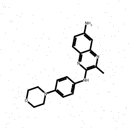 Cc1nc2cc(N)ccc2nc1Nc1ccc(N2CCOCC2)cc1